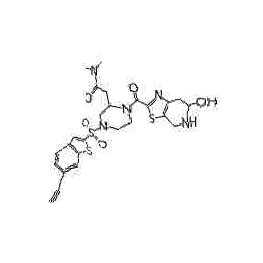 C#Cc1ccc2cc(S(=O)(=O)N3CCN(C(=O)c4nc5c(s4)CNC(O)C5)C(CC(=O)N(C)C)C3)sc2c1